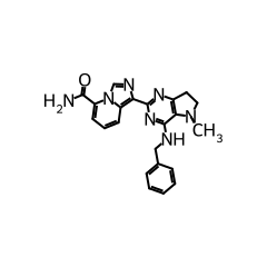 CN1CCc2nc(-c3ncn4c(C(N)=O)cccc34)nc(NCc3ccccc3)c21